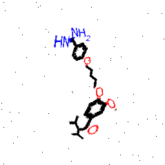 COc1cc(C(=O)C(C(C)C)C(C)C)ccc1OCCCCCOc1ccc(C(=N)N)cc1